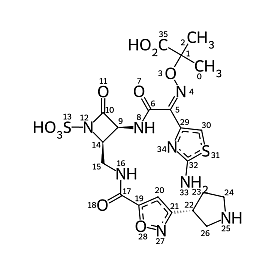 CC(C)(O/N=C(\C(=O)N[C@@H]1C(=O)N(S(=O)(=O)O)[C@@H]1CNC(=O)c1cc([C@@H]2CCNC2)no1)c1csc(N)n1)C(=O)O